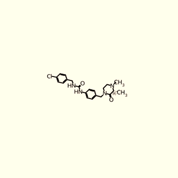 C[C@@H]1C(=O)N(Cc2ccc(NC(=O)NCc3ccc(Cl)cc3)cc2)CCN1C